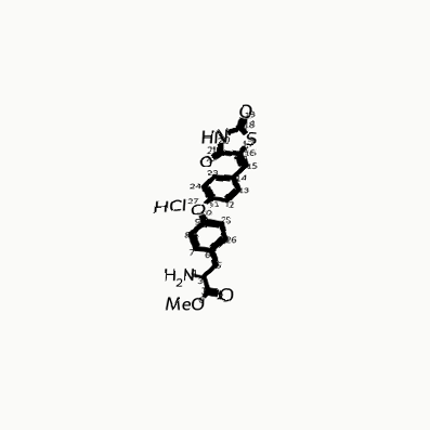 COC(=O)[C@@H](N)Cc1ccc(Oc2ccc(/C=C3/SC(=O)NC3=O)cc2)cc1.Cl